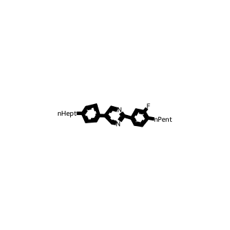 CCCCCCCc1ccc(-c2cnc(-c3ccc(CCCCC)c(F)c3)nc2)cc1